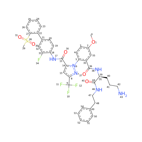 COc1ccc(-n2nc(C(F)(F)F)cc2C(=O)Nc2ccc(-c3ccccc3S(C)(=O)=O)cc2F)c(C(=O)N[C@@H](CCCN)C(=O)NCCc2ccccc2)c1